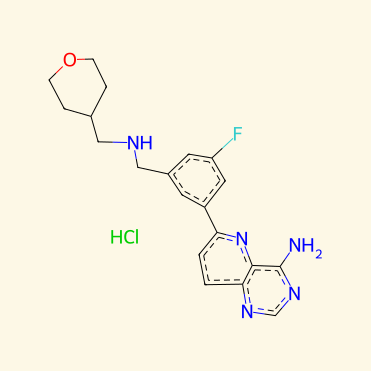 Cl.Nc1ncnc2ccc(-c3cc(F)cc(CNCC4CCOCC4)c3)nc12